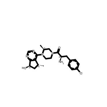 C[C@@H]1C[C@@H](O)c2ncnc(N3CCN(C(=O)[C@H](N)Cc4ccc(Cl)cc4)C[C@@H]3C)c21